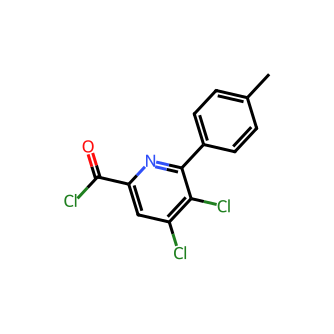 Cc1ccc(-c2nc(C(=O)Cl)cc(Cl)c2Cl)cc1